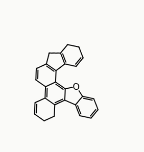 C1=CC2=C(CC1)Cc1ccc3c4c(c5c6ccccc6oc5c3c12)CCC=C4